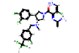 C=C(N)/N=C(C(=O)N1C[C@H](c2ccc(Cl)c(Cl)c2)[C@@H](N(C)Cc2ccc(C(F)(F)F)c(F)c2)C1)\C(Cl)=C/N